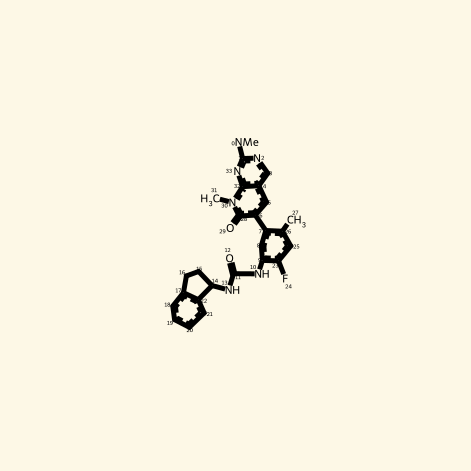 CNc1ncc2cc(-c3cc(NC(=O)NC4CCc5ccccc54)c(F)cc3C)c(=O)n(C)c2n1